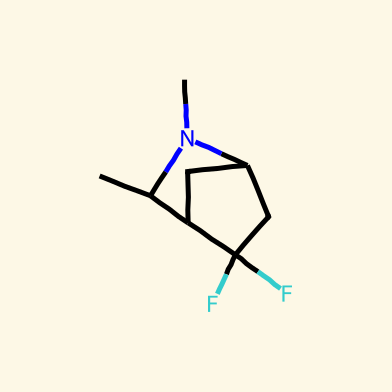 CC1C2CC(CC2(F)F)N1C